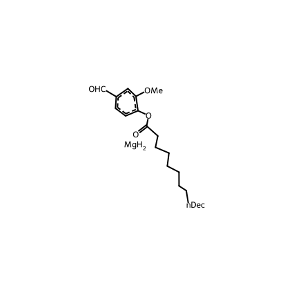 CCCCCCCCCCCCCCCCCC(=O)Oc1ccc(C=O)cc1OC.[MgH2]